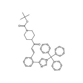 CC(C)(C)OC(=O)N1CCC(C(=O)C=Cc2ccccc2-c2cn(C(c3ccccc3)(c3ccccc3)c3ccccc3)cn2)CC1